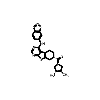 C[C@@H]1CN(C(=O)[C@H]2CCc3c(sc4ncnc(Nc5ccc6nnsc6c5)c34)C2)C[C@H]1O